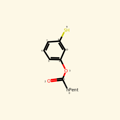 CCCCCC(=O)Oc1cccc(S)c1